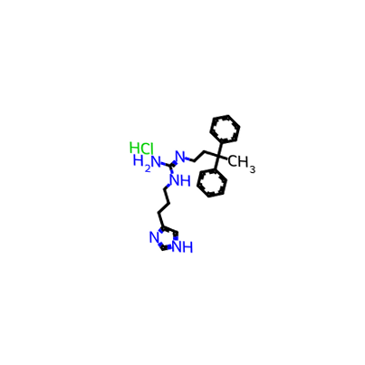 CC(CCN=C(N)NCCCc1c[nH]cn1)(c1ccccc1)c1ccccc1.Cl